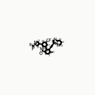 Cc1ccc(C(N)=O)c(-c2cc(-c3cnn(C(F)F)c3)cc(C(F)(F)F)c2)c1C#Cc1cnc2cccnn12